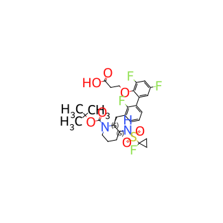 CC(C)(C)OC(=O)N1CCC[C@H](NS(=O)(=O)C2(F)CC2)[C@@H]1Cc1cccc(-c2cc(F)cc(F)c2OCCC(=O)O)c1F